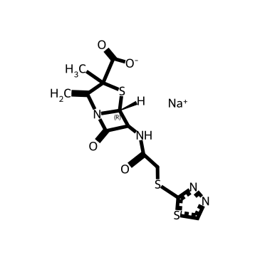 C=C1N2C(=O)C(NC(=O)CSc3nncs3)[C@H]2SC1(C)C(=O)[O-].[Na+]